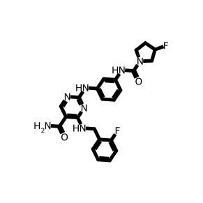 NC(=O)c1cnc(Nc2cccc(NC(=O)N3CCC(F)C3)c2)nc1NCc1ccccc1F